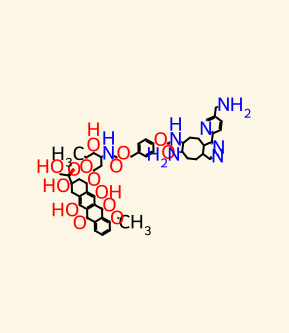 COc1cccc2c1C(=O)c1c(O)c3c(c(O)c1C2=O)C[C@@](O)(C(=O)CO)CC3OC1CC(NC(=O)OCc2ccc(OC(=O)NC3CCC4C(c5ccc(CN)cn5)=NN=CC4CCC3N)cc2)C(O)C(C)O1